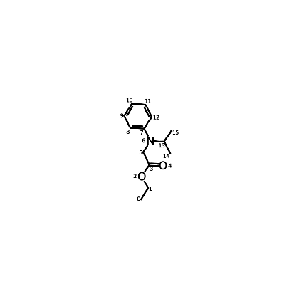 CCOC(=O)CN(c1ccccc1)C(C)C